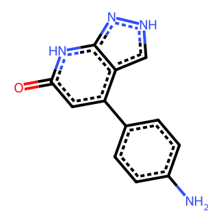 Nc1ccc(-c2cc(=O)[nH]c3n[nH]cc23)cc1